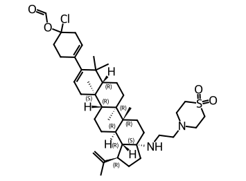 C=C(C)[C@@H]1CC[C@]2(NCCN3CCS(=O)(=O)CC3)CC[C@]3(C)[C@H](CC[C@@H]4[C@@]5(C)CC=C(C6=CCC(Cl)(OC=O)CC6)C(C)(C)[C@@H]5CC[C@]43C)[C@@H]12